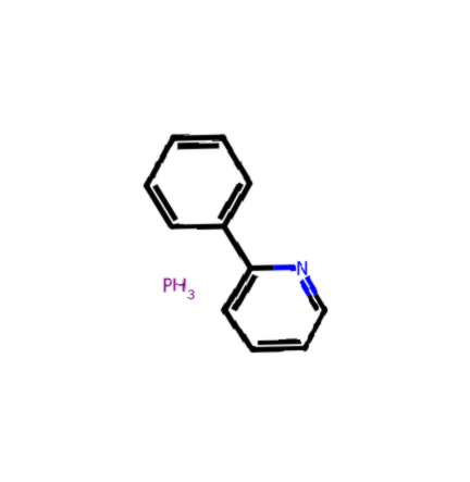 P.c1ccc(-c2ccccn2)cc1